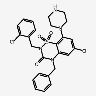 O=C1N(Cc2ccccc2)c2cc(Cl)cc(N3CCNCC3)c2S(=O)(=O)N1Cc1ccccc1Cl